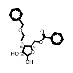 O=C(OC[C@H]1OC(O)[C@H](O)[C@@H]1CCOCc1ccccc1)c1ccccc1